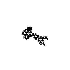 Cc1cc(C)cc(-c2ccc(/N=N/c3cc(S(=O)(=O)O)c4ccccc4c3N)cn2)c1